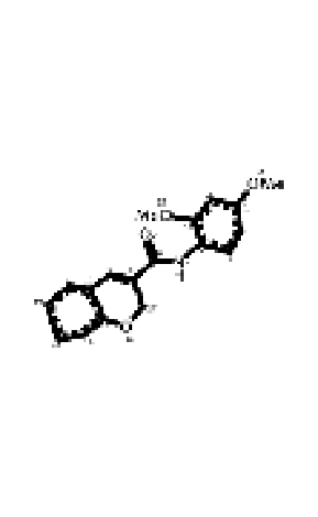 COc1ccc(NC(=O)C2=Cc3ccccc3OC2)c(OC)c1